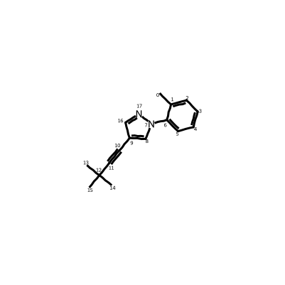 Cc1ccccc1-n1cc(C#CC(C)(C)C)cn1